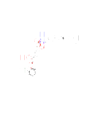 CCOC(=O)CCCCCCNS(=O)(=O)CCCCC(O)COc1ccccc1Cl